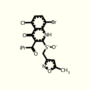 Cc1cc(C[S+]([O-])c2[nH]c3c(Br)ccc(Cl)c3c(=O)c2C(=O)C(C)C)no1